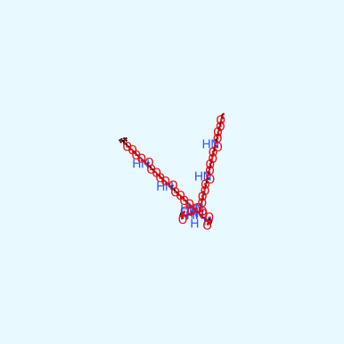 CCCOCCOCCOCCOCCNC(=O)CCOCCOCCOCCOCCNC(=O)CCOCCOCCOCCOCCNC(=O)[C@H](NC(=O)CCCN1C(=O)C=CC1=O)[C@@H](NC(=O)CCCN1C(=O)C=CC1=O)C(=O)NCCOCCOCCOCCOCCC(=O)NCCOCCOCCOCCOCCC(=O)NCCOCCOCCOCCOCCC(C(C)(C)C)C(C)(C)C